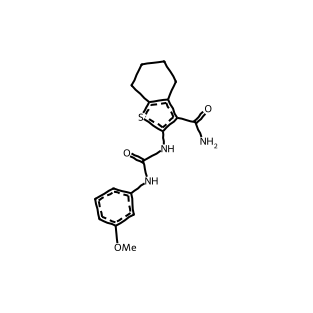 COc1cccc(NC(=O)Nc2sc3c(c2C(N)=O)CCCC3)c1